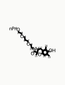 CCCOCCOCCCOCCNC(=O)C1(C)CCc2c(cc(C)c(O)c2C)O1